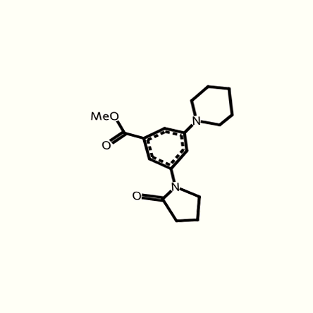 COC(=O)c1cc(N2CCCCC2)cc(N2CCCC2=O)c1